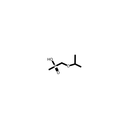 CC(C)OCP(C)(=O)O